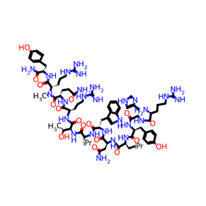 CC(C)C[C@H](NC(=O)[C@H](Cc1ccc(O)cc1)NC(=O)[C@H](Cc1c[nH]cn1)NC(=O)[C@@H](N)CCCNC(=N)N)C(=O)N[C@@H](CC(N)=O)C(=O)N[C@@H](Cc1c[nH]c2ccccc12)C(=O)N[C@H](C(=O)N[C@H](C(=O)N[C@@H](CCCNC(=N)N)C(=O)N[C@@H](CCC(N)=O)C(=O)N(C)[C@@H](CCCNC(=N)N)C(=O)N[C@@H](Cc1ccc(O)cc1)C(N)=O)[C@@H](C)O)C(C)C